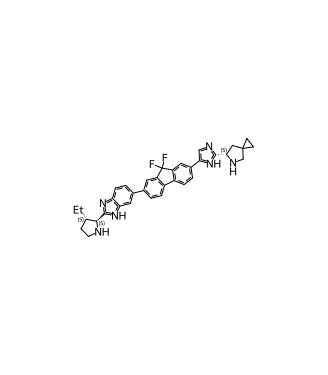 CC[C@H]1CCN[C@@H]1c1nc2ccc(-c3ccc4c(c3)C(F)(F)c3cc(-c5cnc([C@@H]6CC7(CC7)CN6)[nH]5)ccc3-4)cc2[nH]1